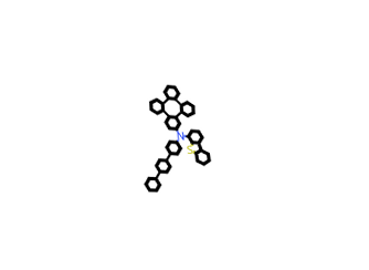 c1ccc(-c2ccc(-c3ccc(N(c4ccc5c(c4)-c4ccccc4-c4ccccc4-c4ccccc4-5)c4cccc5c4sc4ccccc45)cc3)cc2)cc1